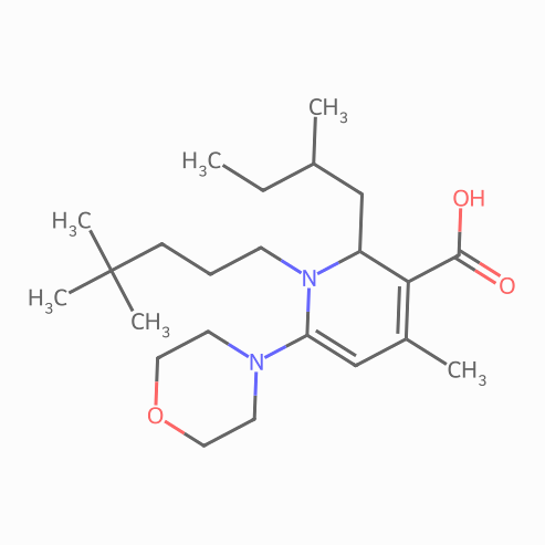 CCC(C)CC1C(C(=O)O)=C(C)C=C(N2CCOCC2)N1CCCC(C)(C)C